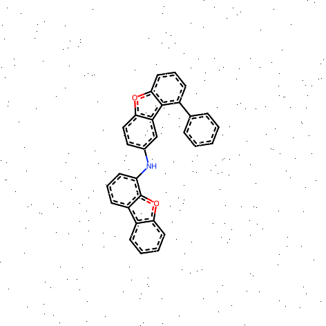 c1ccc(-c2cccc3oc4ccc(Nc5cccc6c5oc5ccccc56)cc4c23)cc1